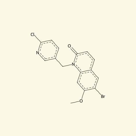 COc1cc2c(ccc(=O)n2Cc2ccc(Cl)nc2)cc1Br